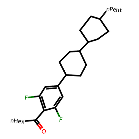 CCCCCCC(=O)c1c(F)cc(C2CCC(C3CCC(CCCCC)CC3)CC2)cc1F